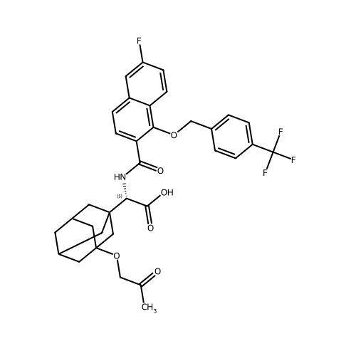 CC(=O)COC12CC3CC(C1)CC([C@H](NC(=O)c1ccc4cc(F)ccc4c1OCc1ccc(C(F)(F)F)cc1)C(=O)O)(C3)C2